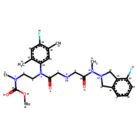 CCN(CCN(C(=O)CNCC(=O)N(C)N1Cc2cccc(F)c2C1)c1cc(C#N)c(F)cc1C)C(=O)OC(C)(C)C